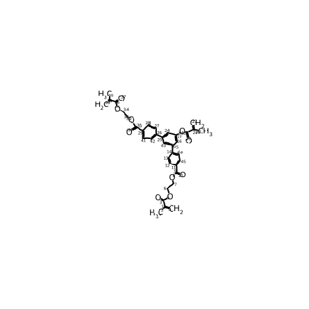 C=C(C)C(=O)OCCOC(=O)c1ccc(-c2cc(OC(=O)C(=C)C)cc(-c3ccc(C(=O)OCCOC(=O)C(=C)C)cc3)c2)cc1